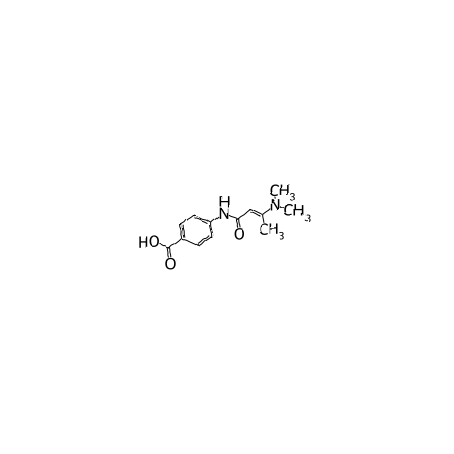 C/C(=C\C(=O)Nc1ccc(C(=O)O)cc1)N(C)C